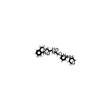 O=C(COc1cccc(NC2CCOCC2)n1)NCC(O)CN1CCc2ccccc2C1